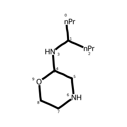 CCCC(CCC)N[C]1CNCCO1